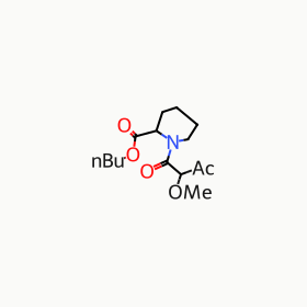 CCCCOC(=O)C1CCCCN1C(=O)C(OC)C(C)=O